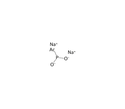 CC(=O)P([O-])[O-].[Na+].[Na+]